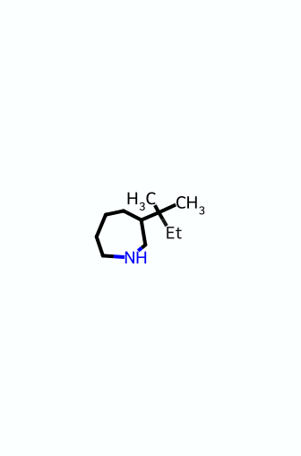 CCC(C)(C)C1CCCCNC1